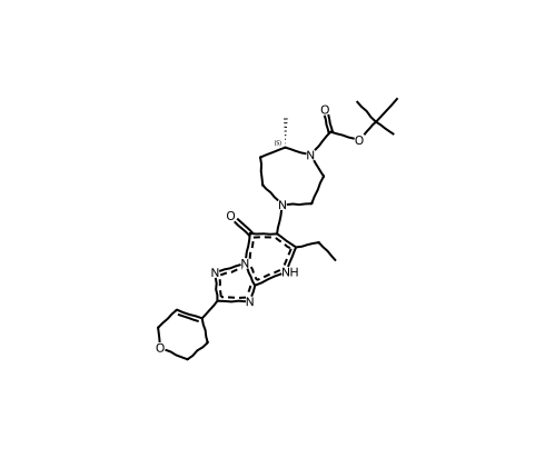 CCc1[nH]c2nc(C3=CCOCC3)nn2c(=O)c1N1CC[C@H](C)N(C(=O)OC(C)(C)C)CC1